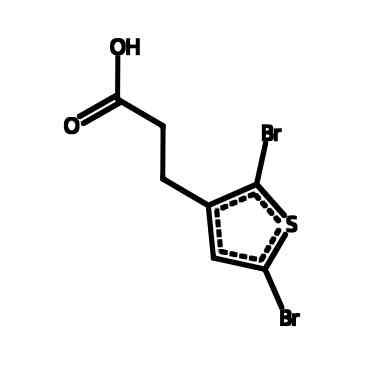 O=C(O)CCc1cc(Br)sc1Br